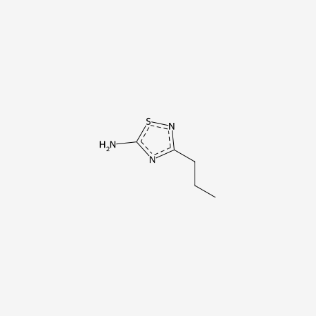 CCCc1nsc(N)n1